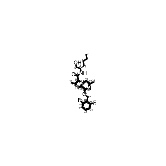 CCCC[C@H](CO)NC(=O)c1c(C)nc2c(OCc3c(F)cccc3F)nc(C)cn12